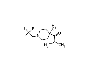 CC(C)C(=O)C1(C)CCN(CC(F)(F)F)CC1